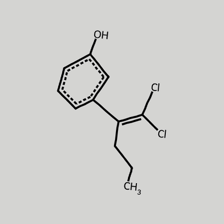 CCCC(=C(Cl)Cl)c1cccc(O)c1